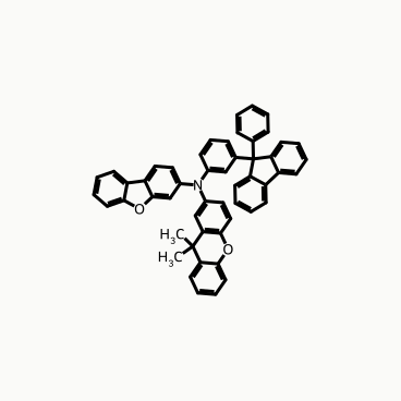 CC1(C)c2ccccc2Oc2ccc(N(c3cccc(C4(c5ccccc5)c5ccccc5-c5ccccc54)c3)c3ccc4c(c3)oc3ccccc34)cc21